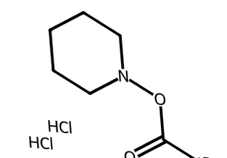 CC(C)(C)C(=O)ON1CCCCC1.Cl.Cl